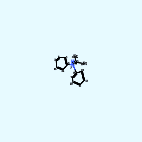 C[CH2][Al][CH2]C.c1ccc(Nc2ccccc2)cc1